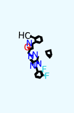 C#Cc1ccccc1-c1cc(Cn2cc3nc(-c4cccc(F)c4F)nc-3cn2)on1.C1CC2CC12